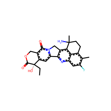 CC[C@@]1(O)C(=O)OCc2c1cc1n(c2=O)Cc2c-1nc1cc(F)c(C)c3c1c2C(C)(N)CC3